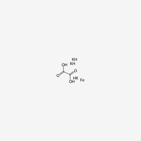 O=C(O)C(=O)O.[Fe].[KH].[KH].[KH]